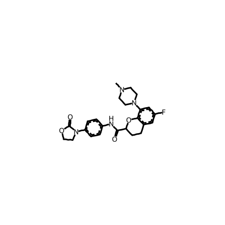 CN1CCN(c2cc(F)cc3c2OC(C(=O)Nc2ccc(N4CCOC4=O)cc2)CC3)CC1